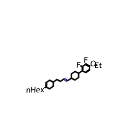 CCCCCCC1=CCC(CC/C=C/C2CCC(c3ccc(OCC)c(F)c3F)CC2)CC1